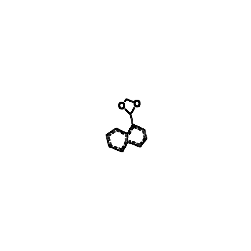 c1ccc2c(C3OCO3)cccc2c1